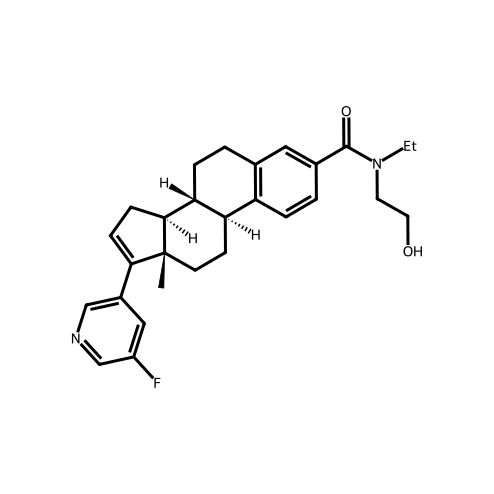 CCN(CCO)C(=O)c1ccc2c(c1)CC[C@@H]1[C@@H]2CC[C@]2(C)C(c3cncc(F)c3)=CC[C@@H]12